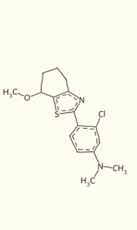 COC1CCCc2nc(-c3ccc(N(C)C)cc3Cl)sc21